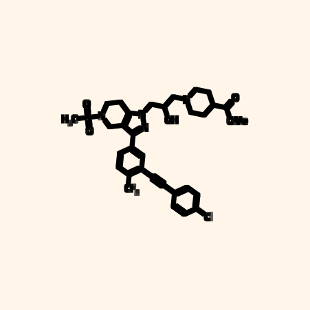 COC(=O)C1CCN(CC(O)Cn2nc(-c3ccc(C(F)(F)F)c(C#Cc4ccc(Cl)cc4)c3)c3c2CCN(S(C)(=O)=O)C3)CC1